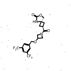 O=C1N[C@]2(CO1)C[C@H](C(=O)N1CC(OCc3cc(C(F)(F)F)cc(C(F)(F)F)c3)C1)C2